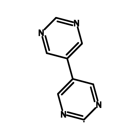 [c]1ncc(-c2cncnc2)cn1